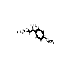 C=CC(C)c1ccc(OC(F)(F)F)cc1